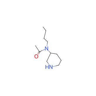 CCCCN(C(C)=O)C1CCCNC1